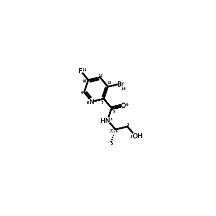 C[C@@H](CO)NC(=O)c1ncc(F)cc1Br